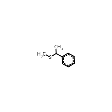 CS[C](C)c1ccccc1